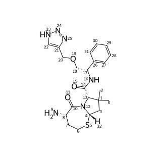 CC1(C)C[C@@H]2SCC[C@H](N)C(=O)N2[C@@H]1C(=O)N[C@H](COCc1c[nH]nn1)c1ccccc1